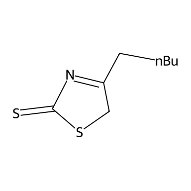 CCCCCC1=NC(=S)SC1